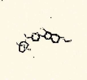 CN(c1ccc(-c2cc3ccc(OCF)cc3cc2O)nn1)[C@H]1C[C@H]2CC[C@@H](C1)N2